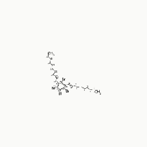 CCCCCCCCOCc1c(Br)c(Br)c(Br)c(COCCCCCCCC)c1Br